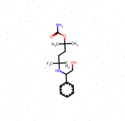 CC(C)(CCC(C)(NC(CO)c1ccccc1)C(F)(F)F)OC(N)=O